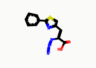 [N-]=[N+]=NC(=Cc1csc(-c2ccccc2)n1)C(=O)O